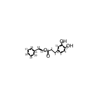 O=C(CCc1ccc(O)c(O)c1)OC=Cc1ccccc1